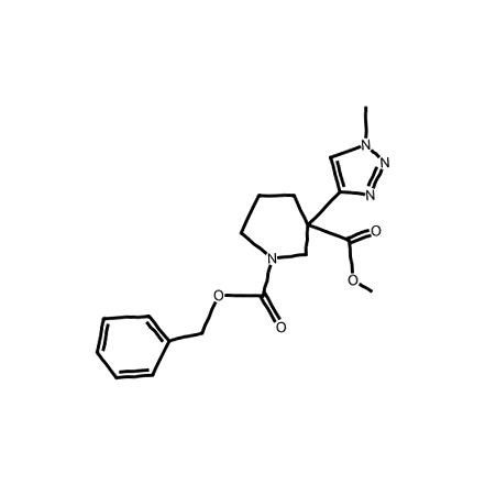 COC(=O)C1(c2cn(C)nn2)CCCN(C(=O)OCc2ccccc2)C1